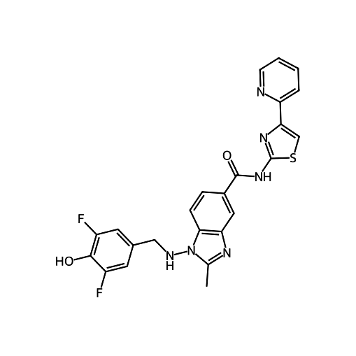 Cc1nc2cc(C(=O)Nc3nc(-c4ccccn4)cs3)ccc2n1NCc1cc(F)c(O)c(F)c1